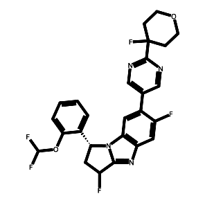 Fc1cc2nc3n(c2cc1-c1cnc(C2(F)CCOCC2)nc1)[C@@H](c1ccccc1OC(F)F)CC3F